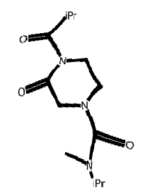 CC(C)C(=O)N1CCN(C(=O)N(C)C(C)C)CC1=O